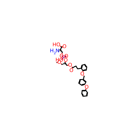 COC[C@H](COC(=O)CCc1ccccc1OCc1cccc(Oc2ccccc2)c1)OP(=O)(O)OC[C@H](N)C(=O)O